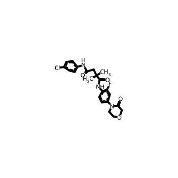 CC(C)(CC(=O)Nc1ccc(Cl)cc1)C(=O)Nc1ccc(N2CCOCC2=O)cc1F